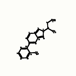 CC(CC=O)n1cc2ccc(-c3ccccc3C(F)(F)F)cc2n1